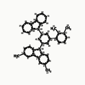 Cc1ccc2c(c1)c1cc(C)ccc1n2-c1nc(-c2cccc(C)c2C)nc(-n2c3ccccc3c3ccccc32)n1